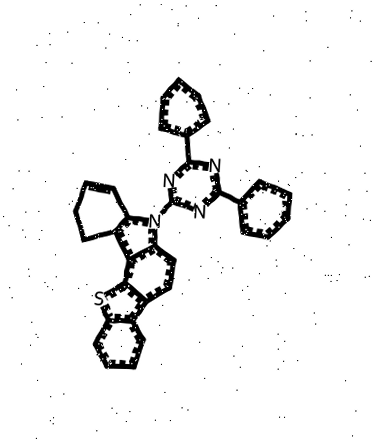 C1=Cc2c(c3c4sc5ccccc5c4ccc3n2-c2nc(-c3ccccc3)nc(-c3ccccc3)n2)CC1